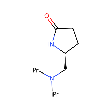 CC(C)N(C[C@H]1CCC(=O)N1)C(C)C